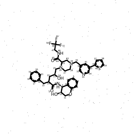 O=C(N[C@H]1c2ccccc2OC[C@H]1O)C(Cc1ccccc1)CC(O)CN1CCN(Cc2cncc(-c3cccs3)c2)CC1C(=O)NCC(F)(F)F